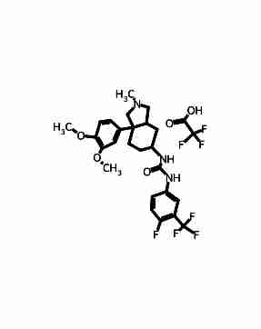 COc1ccc(C23CCC(NC(=O)Nc4ccc(F)c(C(F)(F)F)c4)CC2CN(C)C3)cc1OC.O=C(O)C(F)(F)F